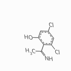 CC(=N)c1c(O)cc(Cl)cc1Cl